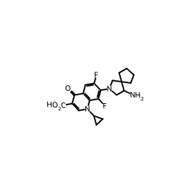 NC1CN(c2c(F)cc3c(=O)c(C(=O)O)cn(C4CC4)c3c2F)CC12CCCC2